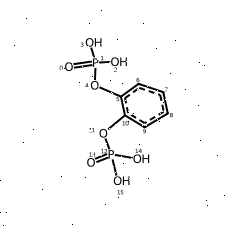 O=P(O)(O)Oc1ccccc1OP(=O)(O)O